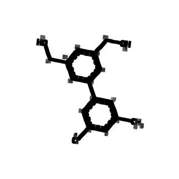 Cc1cc(Cl)cc(-c2cc(CO)cc(CO)c2)c1